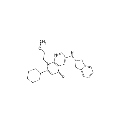 COCCn1c(C2CCCCC2)cc(=O)c2cc(NC3Cc4ccccc4C3)cnc21